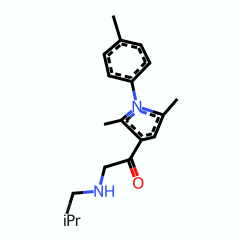 Cc1ccc(-n2c(C)cc(C(=O)CNCC(C)C)c2C)cc1